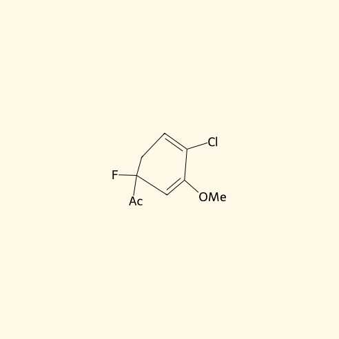 COC1=CC(F)(C(C)=O)CC=C1Cl